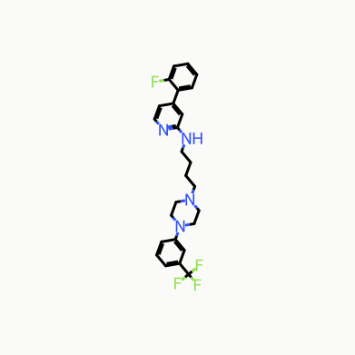 Fc1ccccc1-c1ccnc(NCCCCN2CCN(c3cccc(C(F)(F)F)c3)CC2)c1